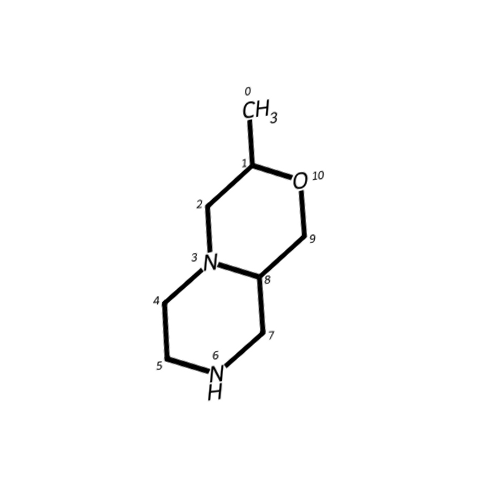 CC1CN2CCNCC2CO1